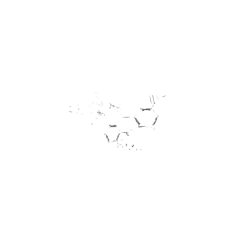 CBc1ccc(Oc2cc(CC(=O)OCC)ccc2OC)c(CSC(C)(C)C)c1